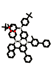 Cc1cc(-c2ccccc2)ccc1N1c2ccc(N(c3ccc(C(C)(C)C)cc3)c3ccc(C(C)(C)C)cc3)cc2B2c3c(cc(-c4ccccc4)cc31)-c1c(ccc3ccccc13)N2c1ccc(C(C)(C)C)cc1